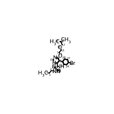 CCCNS(=O)(=O)Nc1ncnc(OCCOCC(C)C)c1-c1ccc(Br)cc1